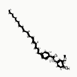 CCCCCCCCCCCCCCCCCCc1ccc(C(=O)Nc2ccc(O)c(OC)c2)cc1